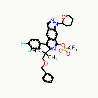 CC(C)(COCc1ccccc1)c1nc(OS(=O)(=O)C(F)(F)F)c2cc3c(cnn3C3CCCCO3)cc2c1-c1ccc(F)c(F)c1